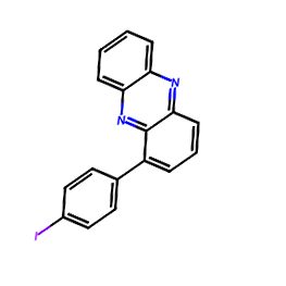 Ic1ccc(-c2cccc3nc4ccccc4nc23)cc1